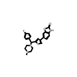 CN1CCN(C(c2ccc(F)cc2)c2cc(-c3ccc4[nH]c(=O)oc4c3)cs2)CC1